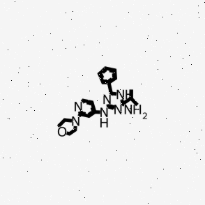 CC(C)C1(N)N=C(Nc2ccnc(N3CCOCC3)c2)N=C(c2ccccc2)N1